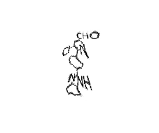 O=Cc1cnc(-c2ccc(-c3nc4ccccc4[nH]3)cc2)c(Cl)c1